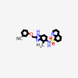 Cc1c(NS(=O)(=O)c2cccc3cccnc23)ccc2[nH]c(COc3cccc(C#N)c3)nc12